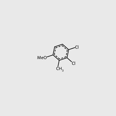 COc1ccc(Cl)c(Cl)c1C